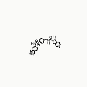 O=C(NCc1ccc(S(=O)(=O)Nc2ccc3c[nH]nc3c2)cc1)C1Cc2cnccc2N1